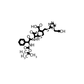 C#CCn1nnnc1SCC1=C(C(=O)O)N2C(=O)C(NC(=O)C(NC(=O)OC(C)(C)C)c3ccccc3)[C@@H]2SC1